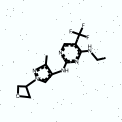 CCNc1nc(Nc2cn(C3COC3)nc2C)ncc1C(F)(F)F